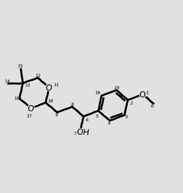 COc1ccc(C(O)CCC2OCC(C)(C)CO2)cc1